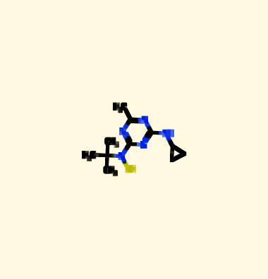 Cc1nc(NC2CC2)nc(N(S)C(C)(C)C)n1